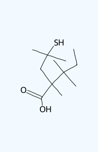 CCC(C)(C)C(C)(CC(C)(C)S)C(=O)O